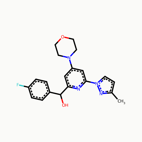 Cc1ccn(-c2cc(N3CCOCC3)cc(C(O)c3ccc(F)cc3)n2)n1